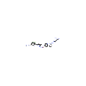 C[C@H](N)CCCc1cc(Cl)c(F)c(-c2cc3cn(-c4ccc([C@@H]5CCC[C@@H](CNCCC(=N)CN)N5)cc4)c(=O)nc3[nH]2)c1